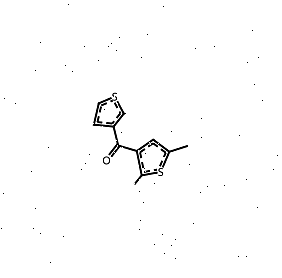 Cc1cc(C(=O)c2ccsc2)c(C)s1